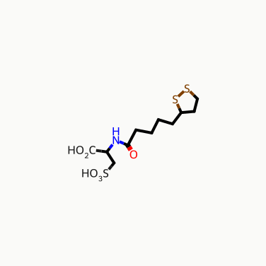 O=C(CCCCC1CCSS1)NC(CS(=O)(=O)O)C(=O)O